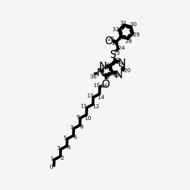 CCCCCCCCCCCCCCCCOc1c2ncnc(SCC(=O)c3ccccc3)c2nn1C